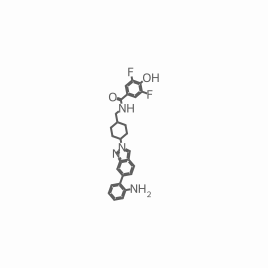 Nc1ccccc1-c1ccc2cn(C3CCC(CNC(=O)c4cc(F)c(O)c(F)c4)CC3)nc2c1